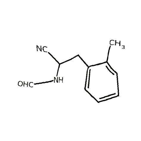 Cc1ccccc1CC(C#N)NC=O